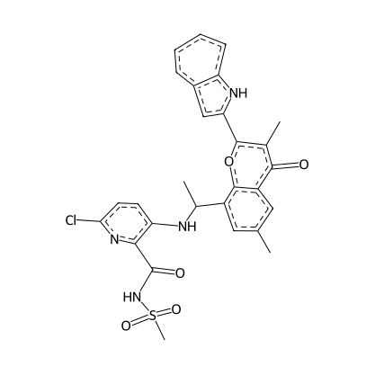 Cc1cc(C(C)Nc2ccc(Cl)nc2C(=O)NS(C)(=O)=O)c2oc(-c3cc4ccccc4[nH]3)c(C)c(=O)c2c1